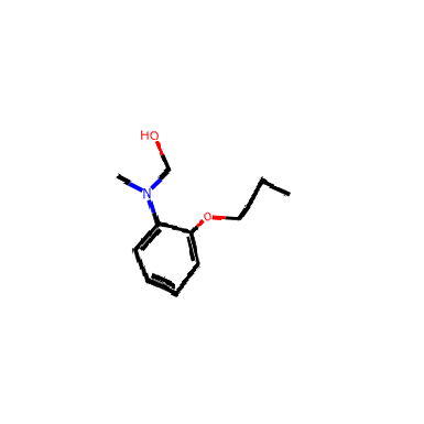 CCCOc1ccccc1N(C)CO